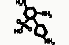 Nc1ccc(-c2c(N)cc(N)cc2S(=O)(=O)O)cc1